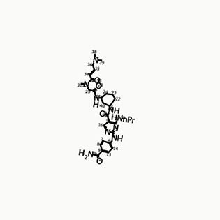 CCCNc1nc(Nc2ccc(C(N)=O)cc2)ncc1C(=O)NC1CCCC(NC(=O)CN(C)C(=O)/C=C/CN(C)C)C1